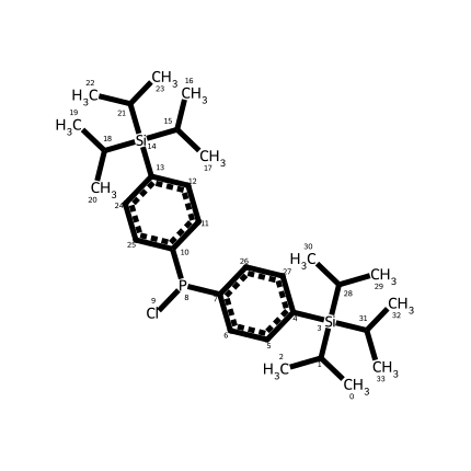 CC(C)[Si](c1ccc(P(Cl)c2ccc([Si](C(C)C)(C(C)C)C(C)C)cc2)cc1)(C(C)C)C(C)C